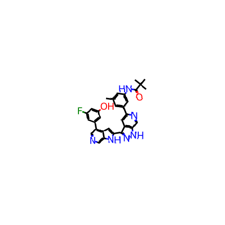 Cc1cc(NC(=O)C(C)(C)C)cc(-c2cc3c(-c4cc5c(-c6cc(O)cc(F)c6)cncc5[nH]4)n[nH]c3cn2)c1